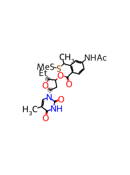 CC[C@H]1O[C@@H](n2cc(C)c(=O)[nH]c2=O)CC1OC(=O)c1ccc(NC(C)=O)cc1C(C)SSC